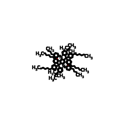 CCCCCCc1ccc(C2(c3ccc(CCCCCC)cc3)c3cc(C(C)(C)CC)ccc3N(c3ccc(CCCC)cc3)c3cc4c(cc32)N(c2ccc(CCCC)cc2)c2ccc(C(C)(C)CC)cc2C4(c2ccc(CCCCCC)cc2)c2ccc(CCCCCC)cc2)cc1